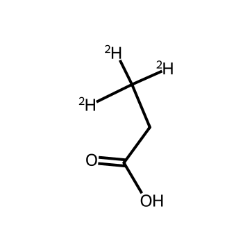 [2H]C([2H])([2H])CC(=O)O